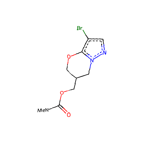 CNC(=O)OCC1COc2c(Br)cnn2C1